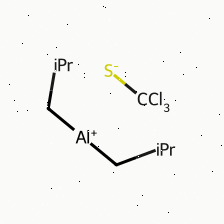 CC(C)[CH2][Al+][CH2]C(C)C.[S-]C(Cl)(Cl)Cl